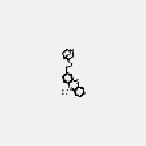 CCN1c2ccccc2Sc2cc(COC3CN4CCC3CC4)ccc21